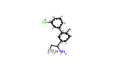 Cc1ccc(C(N)CC(=O)O)cc1-c1cccc(Cl)c1